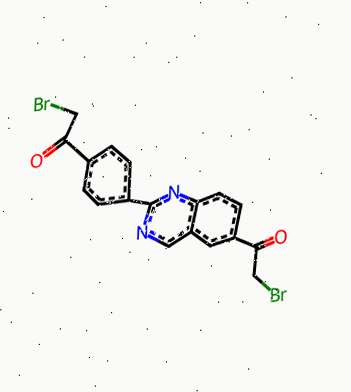 O=C(CBr)c1ccc(-c2ncc3cc(C(=O)CBr)ccc3n2)cc1